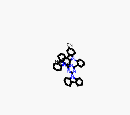 N#Cc1ccc2c(c1)c1cc(C#N)ccc1n2-c1ccccc1-c1nc(-n2c3ccccc3c3ccccc32)nc(-n2c3ccccc3c3ccccc32)n1